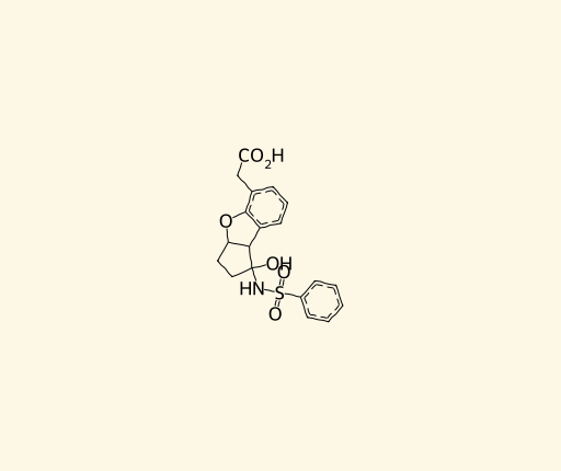 O=C(O)Cc1cccc2c1OC1CCC(O)(NS(=O)(=O)c3ccccc3)C21